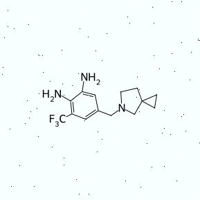 Nc1cc(CN2CCC3(CC3)C2)cc(C(F)(F)F)c1N